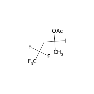 CC(=O)OC(C)(I)CC(F)(F)C(F)(F)F